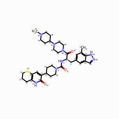 Cc1cc(C[C@@H](NC(=O)N2CCC(c3cc4c([nH]c3=O)CCCS4)CC2)C(=O)N2CCN(C3CCN(C)CC3)CC2)cc2cn[nH]c12